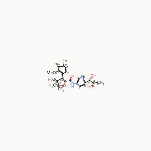 COc1c([C@H]2[C@H](C(=O)Nc3ccc([C@@H](O)[C@@H](C)O)nc3)O[C@@](C)(C(F)(F)F)[C@H]2C)ccc(F)c1F